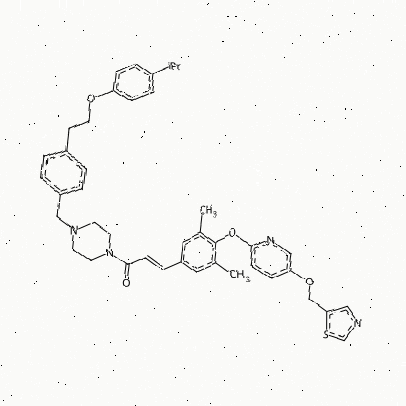 Cc1cc(/C=C/C(=O)N2CCN(Cc3ccc(CCOc4ccc(C(C)C)cc4)cc3)CC2)cc(C)c1Oc1ccc(OCc2cncs2)cn1